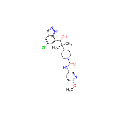 COc1ccc(NC(=O)N2CCC(C(C)(C)C(O)c3cc(Cl)cc4cn[nH]c34)CC2)cn1